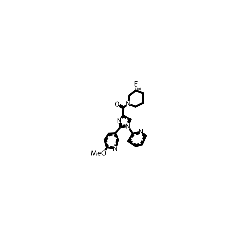 COc1ccc(-c2nc(C(=O)N3CCC[C@@H](F)C3)cn2-c2ccccn2)cn1